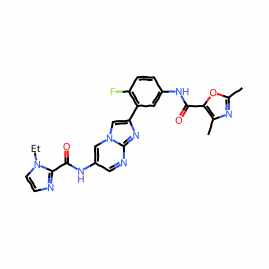 CCn1ccnc1C(=O)Nc1cnc2nc(-c3cc(NC(=O)c4oc(C)nc4C)ccc3F)cn2c1